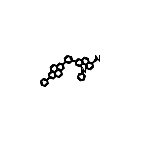 N#Cc1ccc2c3c1ccc1cc(-c4cccc(-c5cc6ccc7cc(-c8ccccc8)cc8ccc(c5)c6c78)c4)cc(c13)n2-c1ccccc1